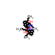 CCCCCCC(O)(CCCCCC)[C@@H](NC(=O)C1(C(=O)N[C@@H](c2cccc3ccccc23)C(O)(CCCCCC)CCCCCC)CCC1)c1cccc2ccccc12